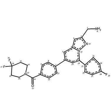 NCc1cc2cc(-c3ccc(C(=O)N4CCC(F)(F)CC4)cc3)cc(-c3ccc(F)cc3)n2n1